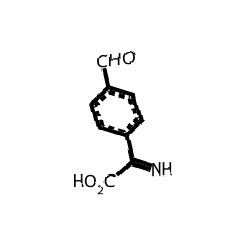 N=C(C(=O)O)c1ccc(C=O)cc1